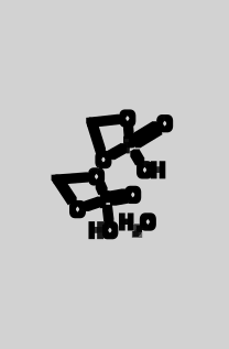 O.O=P1(O)OCO1.O=P1(O)OCO1